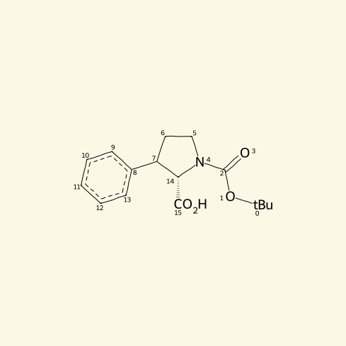 CC(C)(C)OC(=O)N1CCC(c2ccccc2)[C@H]1C(=O)O